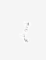 CC(=O)NCCOCCOCCOCCOCCOCCNc1ccc(CNc2nc(C)c(C)s2)c(C)c1